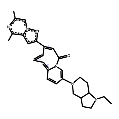 CCN1CCC2CN(C3=CN4C(=O)\C=C(c5cc6c(C)nc(C)cn6n5)/C=C/C=C/4C=C3)CCC21